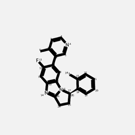 Cc1ccncc1-c1cc2c(cc1F)nc1n2[C@@H](c2ccccc2I)CC1